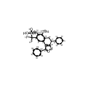 CC(C)(C)c1cc(C(F)(F)P(=O)(O)O)c(Br)c(C(C)(C)C)c1CC(c1ccccc1)c1noc(-c2ccccc2)n1